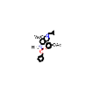 CO[C@]12CC[C@H](N(C)C(=O)OCc3ccccc3)C[C@]1(c1cccc(OC(C)=O)c1)CCN(CC1CC1)C2